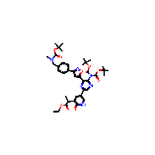 CCOC(=O)C(C)c1cc(-c2cnc(N(C(=O)OC(C)(C)C)C(=O)OC(C)(C)C)c(-c3cc(-c4ccc(CN(C)C(=O)OC(C)(C)C)cc4)no3)n2)c[nH]c1=O